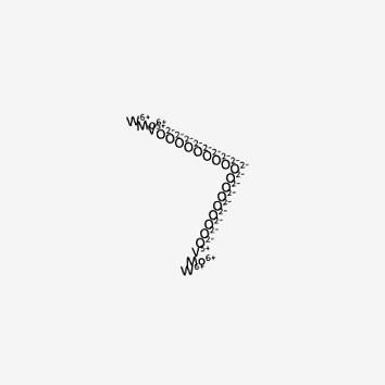 [Mo+6].[Mo+6].[O-2].[O-2].[O-2].[O-2].[O-2].[O-2].[O-2].[O-2].[O-2].[O-2].[O-2].[O-2].[O-2].[O-2].[O-2].[O-2].[O-2].[V+5].[V+5].[W+6].[W+6]